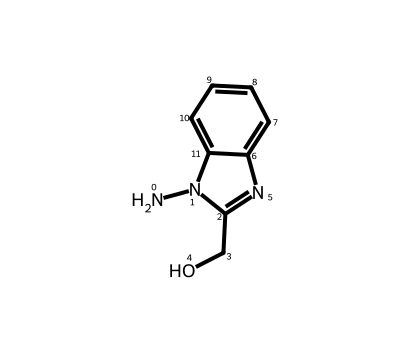 Nn1c(CO)nc2ccccc21